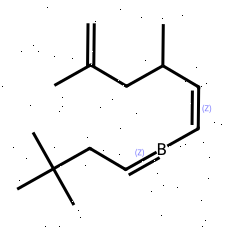 C=C(C)CC(C)/C=C\B=C/CC(C)(C)C